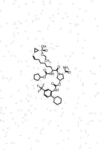 CCOP(=O)(O)[C@H]1C[C@H]1/C=C\CCCCC[C@H](NC(=O)OC1CCCC1)C(=O)N1C[C@H](OC(=O)Nc2cc(C(F)(F)F)ccc2N2CCCCC2)C[C@H]1C(N)=O